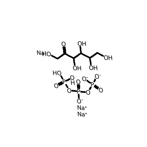 O=C(CO)C(O)C(O)C(O)CO.O=P([O-])([O-])OP(=O)([O-])OP(=O)(O)O.[Na+].[Na+].[Na+]